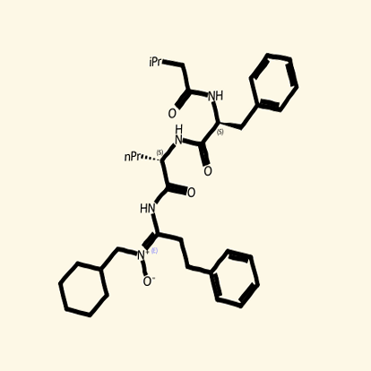 CCC[C@H](NC(=O)[C@H](Cc1ccccc1)NC(=O)CC(C)C)C(=O)N/C(CCc1ccccc1)=[N+](/[O-])CC1CCCCC1